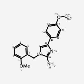 COc1ccccc1Cn1cc(-c2ccc(OC(F)(F)F)cc2)nc1N